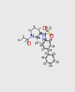 CCC(=O)N1CCC[C@H](NS(C)(=O)=O)[C@@H]1Cc1cccc(-c2ccccc2)c1